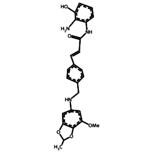 COc1cc(NCc2ccc(/C=C/C(=O)Nc3cccc(O)c3N)cc2)cc2c1OC(C)O2